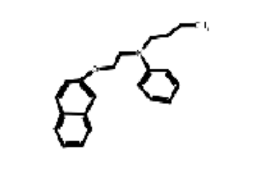 CCCCN(CCOc1ccc2ccccc2c1)c1ccccc1